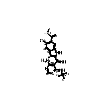 C=C(NC)c1cc2[nH]c(C(=N)c3c(N)ncnc3NC(C)(C)C)cc2cc1Cl